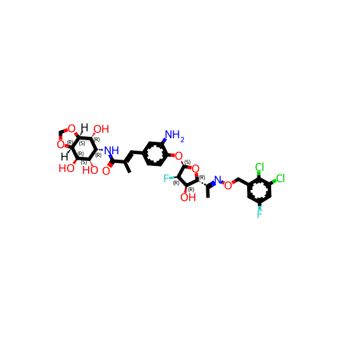 CC(=Cc1ccc(O[C@@H]2O[C@H](C(C)=NOCc3cc(F)cc(Cl)c3Cl)[C@@H](O)[C@H]2F)c(N)c1)C(=O)N[C@@H]1[C@H](O)[C@@H](O)[C@H]2OCO[C@H]2[C@@H]1O